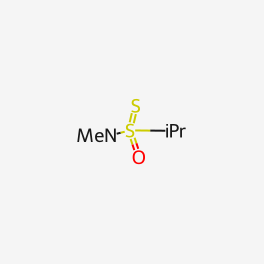 CNS(=O)(=S)C(C)C